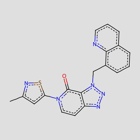 Cc1cc(-n2ccc3nnn(Cc4cccc5cccnc45)c3c2=O)sn1